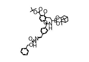 COc1c(CC(NC(=O)c2ccc(C=NNC(=O)OCc3ccccc3)cc2)B2OC3CC4CC(C4(C)C)C3(C)O2)cccc1C(=O)OC(C)(C)C